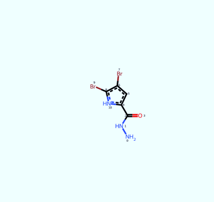 NNC(=O)c1cc(Br)c(Br)[nH]1